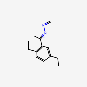 C=N/N=C(\C)c1cc(CC)ccc1CC